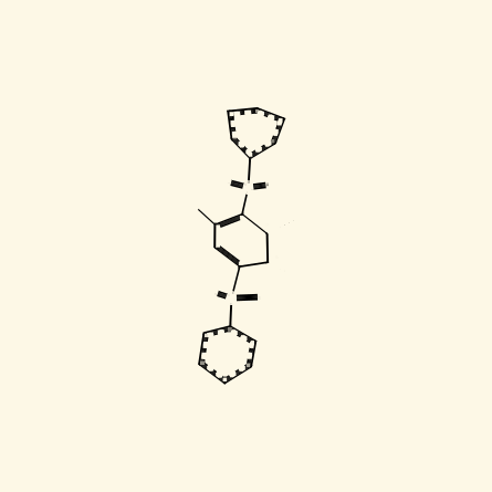 CC1=C(S(=O)(=O)c2ccccc2)[C@H](C)[C@H](C)C(S(=O)(=O)c2ccccc2)=C1